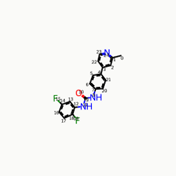 Cc1cc(-c2ccc(NC(=O)Nc3cc(F)ccc3F)cc2)ccn1